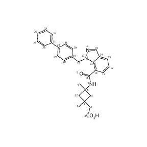 CC1(CC(=O)O)CC(C)(NC(=O)c2cccc3cnn(Cc4ccc(-c5ccccc5)cc4)c23)C1